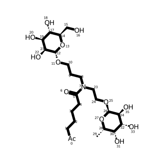 CC(=O)CCCCC(=O)N(CCCO[C@H]1O[C@H](CO)[C@@H](O)[C@H](O)[C@@H]1O)CCO[C@@H]1O[C@@H](C)[C@@H](O)[C@@H](O)[C@@H]1O